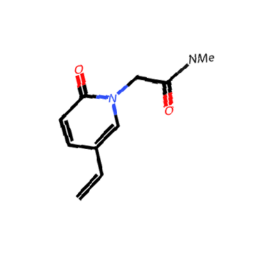 C=Cc1ccc(=O)n(CC(=O)NC)c1